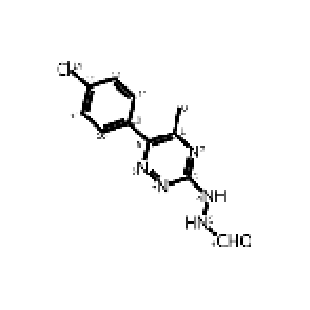 Cc1nc(NNC=O)nnc1-c1ccc(Cl)cc1